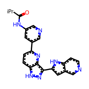 CC(C)C(=O)Nc1cncc(-c2ccc3[nH]nc(-c4cc5cnccc5[nH]4)c3n2)c1